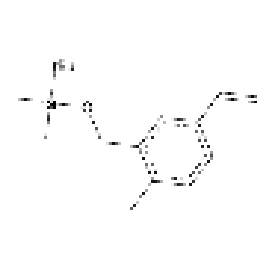 C=Cc1ccc(C)c(CO[Si](C)(C)C(C)(C)C)c1